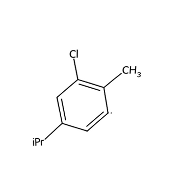 Cc1[c]cc(C(C)C)cc1Cl